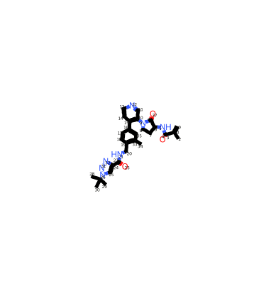 C=C(C)C(=O)NC1CCN(c2cnccc2-c2ccc(CNC(=O)c3cn(C(C)(C)C)nn3)c(C)c2)C1=O